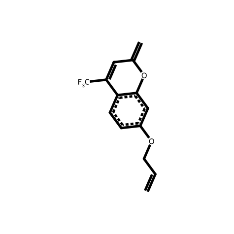 C=CCOc1ccc2c(c1)OC(=C)C=C2C(F)(F)F